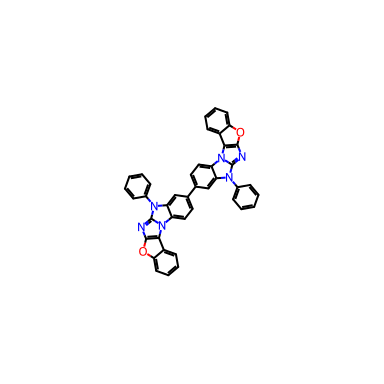 c1ccc(-n2c3cc(-c4ccc5c(c4)n(-c4ccccc4)c4nc6oc7ccccc7c6n54)ccc3n3c4c(nc23)oc2ccccc24)cc1